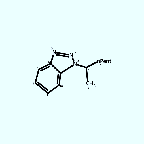 CCCCCC(C)n1nnc2ccccc21